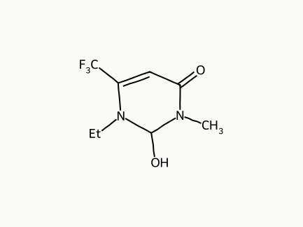 CCN1C(C(F)(F)F)=CC(=O)N(C)C1O